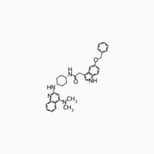 CN(C)c1cc(N[C@H]2CC[C@@H](NC(=O)Cc3c[nH]c4ccc(OCc5ccccc5)cc34)CC2)nc2ccccc12